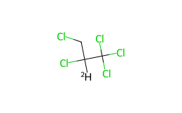 [2H]C(Cl)(CCl)C(Cl)(Cl)Cl